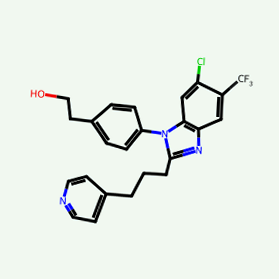 OCCc1ccc(-n2c(CCCc3ccncc3)nc3cc(C(F)(F)F)c(Cl)cc32)cc1